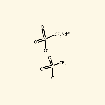 O=S(=O)([O-])C(F)(F)F.O=S(=O)([O-])C(F)(F)F.[Nd+2]